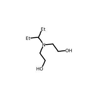 CC[C](CC)N(CCO)CCO